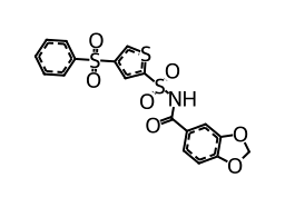 O=C(NS(=O)(=O)c1cc(S(=O)(=O)c2ccccc2)cs1)c1ccc2c(c1)OCO2